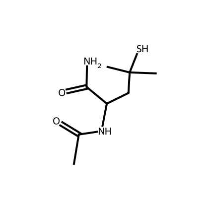 CC(=O)NC(CC(C)(C)S)C(N)=O